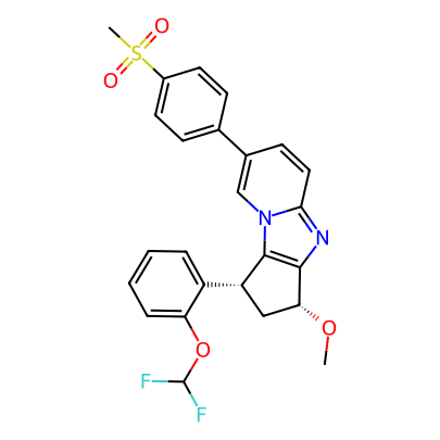 CO[C@@H]1C[C@H](c2ccccc2OC(F)F)c2c1nc1ccc(-c3ccc(S(C)(=O)=O)cc3)cn21